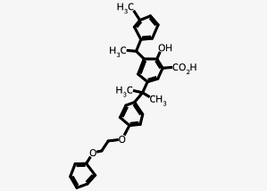 Cc1cccc(C(C)c2cc(C(C)(C)c3ccc(OCCOc4ccccc4)cc3)cc(C(=O)O)c2O)c1